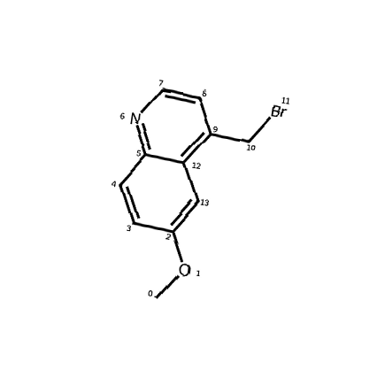 COc1ccc2nccc(CBr)c2c1